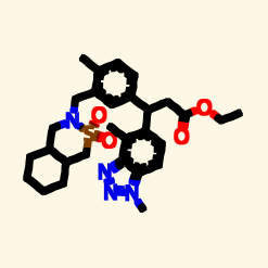 CCOC(=O)CC(c1ccc(C)c(CN2CC3CCCCC3CS2(=O)=O)c1)c1ccc2c(nnn2C)c1C